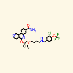 C[C@H](COCCCCNCc1ccc(OC(F)(F)F)c(Cl)c1)Oc1nc2cc(C(N)=O)ccc2c2cnccc12